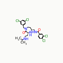 CC(C)NCC[C@@H]1N[C@H](CNC(=O)c2ccc(Cl)c(Cl)c2)CCN(Cc2cc(Cl)cc(Cl)c2)C1=O